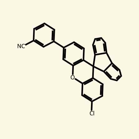 N#Cc1cccc(-c2ccc3c(c2)Oc2cc(Cl)ccc2C32c3ccccc3-c3ccccc32)c1